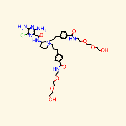 Nc1nc(N)c(C(=O)NC2CCC[N+](CCCc3ccc(C(=O)NCCOCCOCCO)cc3)(CCCc3ccc(C(=O)NCCOCCOCCO)cc3)C2)nc1Cl